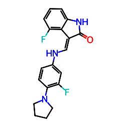 O=C1Nc2cccc(F)c2/C1=C\Nc1ccc(N2CCCC2)c(F)c1